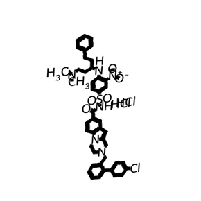 CN(C)CCC(CCc1ccccc1)Nc1ccc(S(=O)(=O)NC(=O)c2ccc3c(c2)cc2n3CCN(Cc3ccccc3-c3ccc(Cl)cc3)C2)cc1[N+](=O)[O-].Cl.Cl